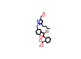 CCCCc1cc(COC)nn1Cc1ccc2oc(-c3ccccc3C(=O)OC)c(Br)c2c1